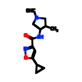 CC1CN(C=O)CC1NC(=O)c1cc(C2CC2)on1